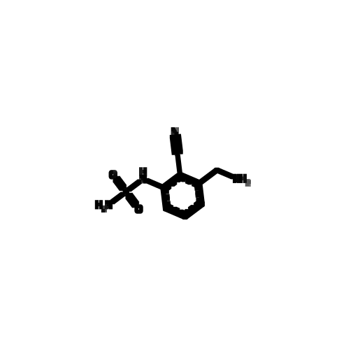 N#Cc1c(CN)cccc1NS(N)(=O)=O